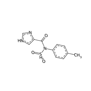 Cc1ccc(N(C(=O)c2c[nH]cn2)[SH](=O)=O)cc1